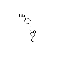 Cc1coc(CCc2ccc(C(C)(C)C)cc2)c1